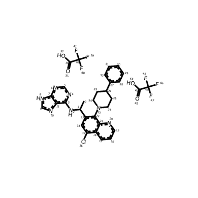 CC(Nc1ncnc2[nH]cnc12)c1cc(Cl)c2cccnc2c1N1CCC(c2ccccc2)CC1.O=C(O)C(F)(F)F.O=C(O)C(F)(F)F